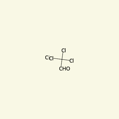 O=CC(Cl)(Cl)Cl.[C]